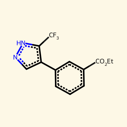 CCOC(=O)c1cccc(-c2cn[nH]c2C(F)(F)F)c1